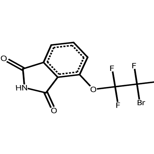 O=C1NC(=O)c2c(OC(F)(F)C(F)(F)Br)cccc21